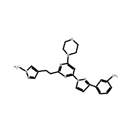 Cc1cccc(-c2ccn(-c3cc(N4CCOCC4)nc(CCc4cnn(C)c4)n3)n2)c1